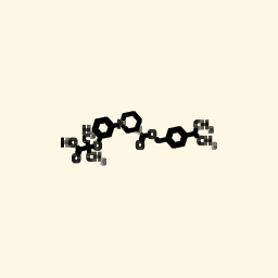 CC(C)c1ccc(COC(=O)[C@H]2CCCN(c3cccc(OC(C)(C)C(=O)O)c3)C2)cc1